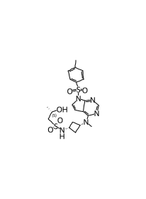 Cc1ccc(S(=O)(=O)n2ccc3c(N(C)[C@H]4C[C@@H](NS(=O)(=O)C[C@H](C)O)C4)ncnc32)cc1